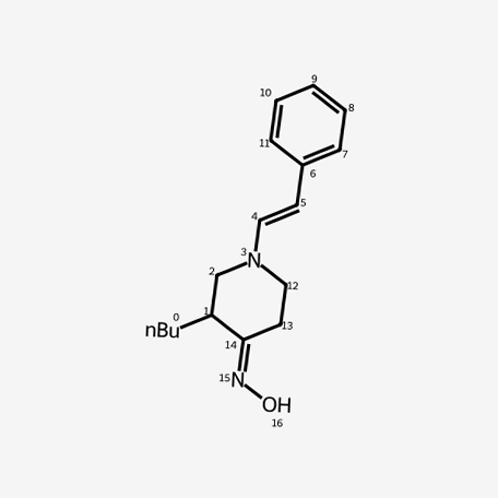 CCCCC1CN(C=Cc2ccccc2)CCC1=NO